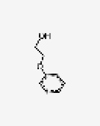 OC[CH]Oc1ccccc1